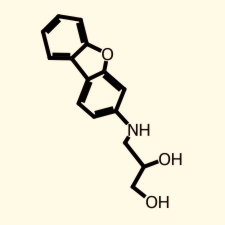 OCC(O)CNc1ccc2c(c1)oc1ccccc12